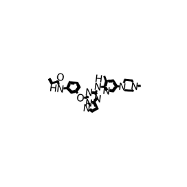 C=CC(=O)Nc1cccc(Oc2nc(Nc3ncc(N4CCN(C)CC4)cc3C)nc3ccnn23)c1